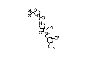 CC(C)CC1(C(=O)NCc2cc(C(F)(F)F)cc(C(F)(F)F)c2)CCN(CC(=O)N2CCOC(=S(=O)=O)C2)CC1